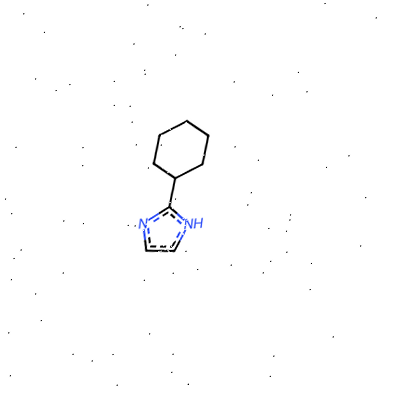 c1c[nH]c(C2CCCCC2)n1